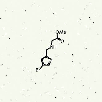 COC(=O)CNCc1cc(Br)cs1